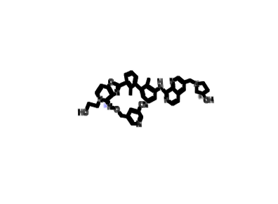 Cc1c(Nc2nccc3cc(CN4CC[C@@H](O)C4)cnc23)cccc1-c1cccc(-c2nc3/c(=N\OCc4cncc(C#N)c4)n(CCO)ccc3o2)c1C